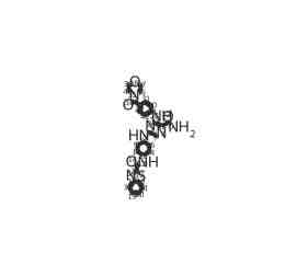 NC(=O)c1ncc(NC2CCC(NC(=O)c3nc4ccccc4s3)CC2)nc1Nc1ccc(C(=O)N2CCOCC2)cc1